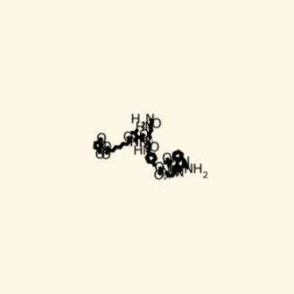 CC(C)C(NC(=O)CCCCCC(=O)ON1C(=O)CCC1=O)C(=O)N[C@@H](CCCNC(N)=O)C(=O)Nc1ccc(COC(=O)N[C@@H](C)Cc2nc3c(N)nc4ccccc4c3n2CC(C)(C)O)cc1